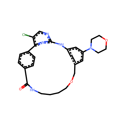 O=C1NCCCCOCc2cc(cc(N3CCOCC3)c2)Nc2ncc(Cl)c(n2)-c2ccc1cc2